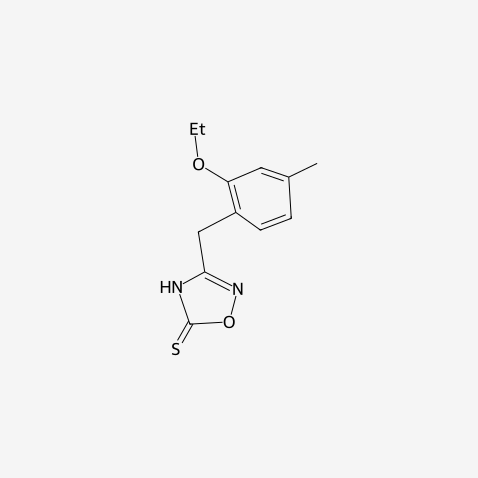 CCOc1cc(C)ccc1Cc1noc(=S)[nH]1